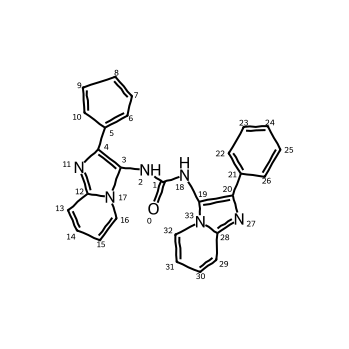 O=C(Nc1c(-c2ccccc2)nc2ccccn12)Nc1c(-c2ccccc2)nc2ccccn12